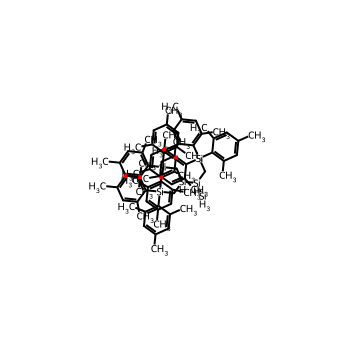 Cc1cc(C)c([Si](C[SiH]([SiH3])[SiH](C[Si](c2c(C)cc(C)cc2C)(c2c(C)cc(C)cc2C)c2c(C)cc(C)cc2C)C[Si](c2c(C)cc(C)cc2C)(c2c(C)cc(C)cc2C)c2c(C)cc(C)cc2C)(c2c(C)cc(C)cc2C)c2c(C)cc(C)cc2C)c(C)c1